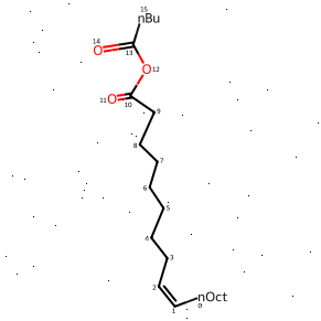 CCCCCCCC/C=C\CCCCCCCC(=O)OC(=O)CCCC